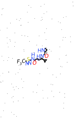 O=C(/C=C/[C@@H](NC(=O)[C@@H]1CCN1)C1CC1)Nc1nnc(C(F)(F)F)s1